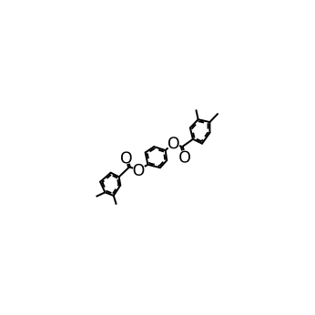 Cc1ccc(C(=O)Oc2ccc(OC(=O)c3ccc(C)c(C)c3)cc2)cc1C